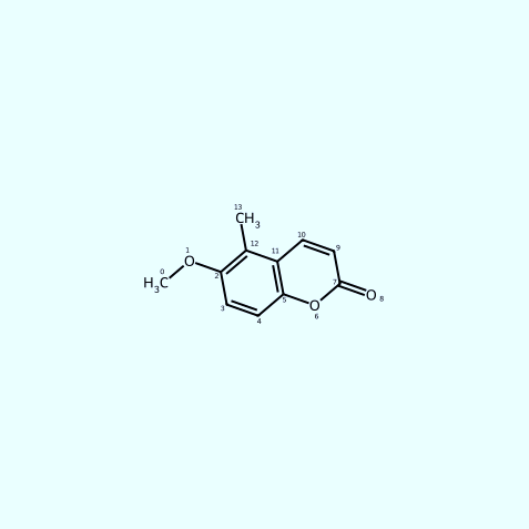 COc1ccc2oc(=O)ccc2c1C